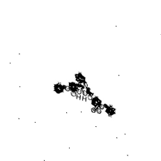 O=[N+]([O-])c1cc(OC[C@@H](O)CN(Cc2ccccc2)[C@H](CO)Cc2ccc(OCc3ccccc3)c(Cl)c2)ccc1OCc1ccccc1